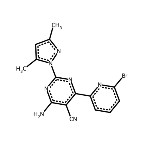 Cc1cc(C)n(-c2nc(N)c(C#N)c(-c3cccc(Br)n3)n2)n1